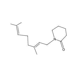 CC(C)=CCC/C(C)=C/CN1CCCCC1=O